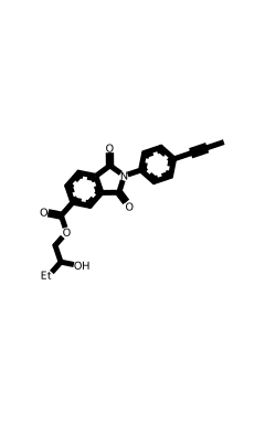 CC#Cc1ccc(N2C(=O)c3ccc(C(=O)OCC(O)CC)cc3C2=O)cc1